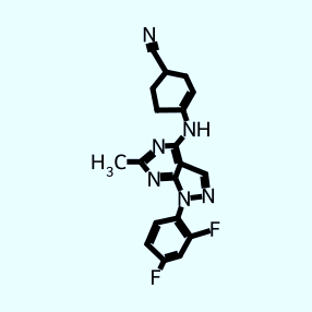 Cc1nc(NC2=CCC(C#N)CC2)c2cnn(-c3ccc(F)cc3F)c2n1